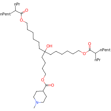 CCCCCC(CCC)C(=O)OCCCCCCC(O)(CCCCCCOC(=O)C(CCC)CCCCC)CCCCOC(=O)C1CCN(C)CC1